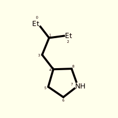 CCC(CC)C[C]1CCNC1